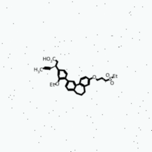 CC#C[C@@H](CC(=O)O)c1ccc(-c2ccc3c(c2)-c2ccc(OCCCS(=O)(=O)CC)cc2CCC3)c(OCC)c1